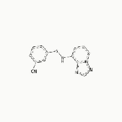 N#Cc1cccc(SNc2cccn3ncnc23)c1